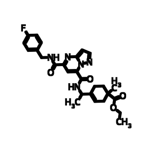 CCOC(=O)C1(C)CC=C(C(C)NC(=O)c2cc(C(=O)NCc3ccc(F)cc3)nc3ccnn23)CC1